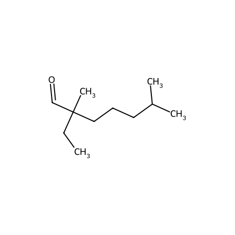 CCC(C)(C=O)CCCC(C)C